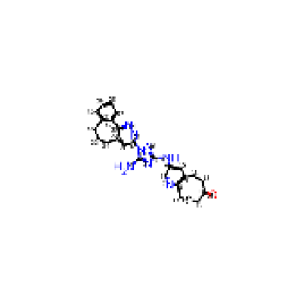 Nc1nc(Nc2cnc3c(c2)CCC(=O)CCC3)nn1-c1cc2c(nn1)-c1ccccc1CCC2